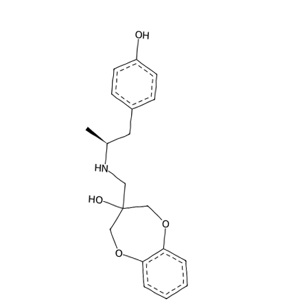 C[C@@H](Cc1ccc(O)cc1)NCC1(O)COc2ccccc2OC1